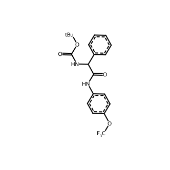 CC(C)(C)OC(=O)NC(C(=O)Nc1ccc(OC(F)(F)F)cc1)c1ccccc1